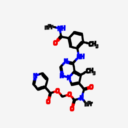 CCCNC(=O)c1ccc(C)c(Nc2ncnn3cc(C(=O)N(CCC)C(=O)OCOC(=O)c4ccncc4)c(C)c23)c1